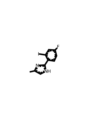 Cc1c[nH]c(-c2ccc(F)cc2I)n1